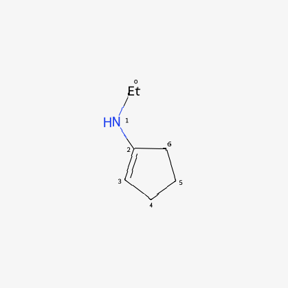 CCNC1=CCCC1